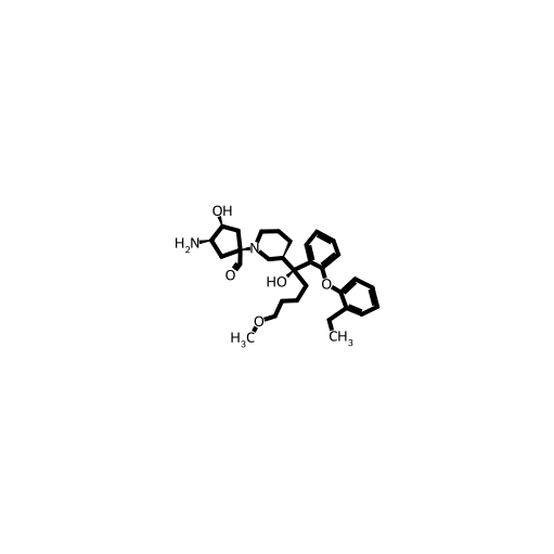 CCc1ccccc1Oc1ccccc1[C@](O)(CCCCOC)[C@@H]1CCCN([C@@]2(C=O)C[C@@H](N)[C@@H](O)C2)C1